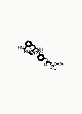 CC(C)(C)OC(=O)NCC(=O)Nc1cccc(S(=O)(=O)NC(Cc2cccc(C(=N)N)c2)c2nccs2)c1